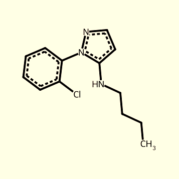 CCCCNc1ccnn1-c1ccccc1Cl